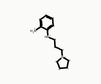 Nc1ccccc1NCCCN1CCCC1